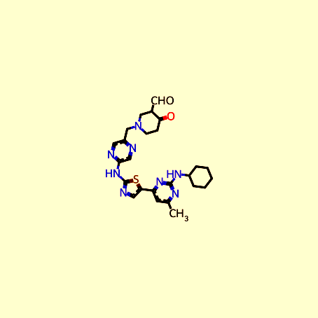 Cc1cc(-c2cnc(Nc3cnc(CN4CCC(=O)C(C=O)C4)cn3)s2)nc(NC2CCCCC2)n1